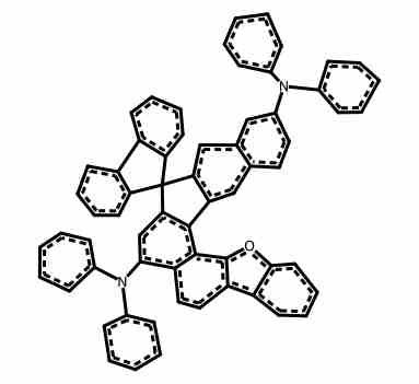 c1ccc(N(c2ccccc2)c2ccc3cc4c(cc3c2)C2(c3ccccc3-c3ccccc32)c2cc(N(c3ccccc3)c3ccccc3)c3ccc5c6ccccc6oc5c3c2-4)cc1